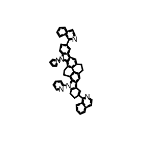 C1=C(c2nccc3ccccc23)CCc2c1c1cc3c4c(c1n2-c1ccccn1)CCc1c-4c(cc2c4cc(-c5nccc6ccccc56)ccc4n(-n4cccc4)c12)CC3